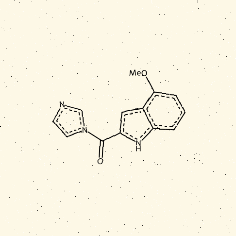 COc1cccc2[nH]c(C(=O)n3ccnc3)cc12